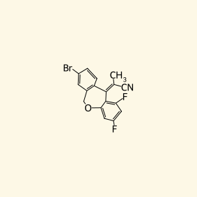 CC(C#N)=C1c2ccc(Br)cc2COc2cc(F)cc(F)c21